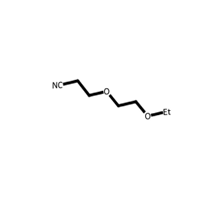 CCOCCOCCC#N